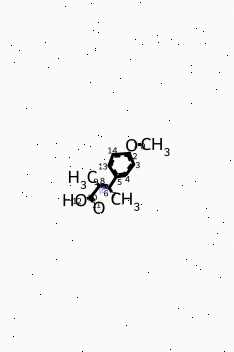 COc1ccc(/C(C)=C(\C)C(=O)O)cc1